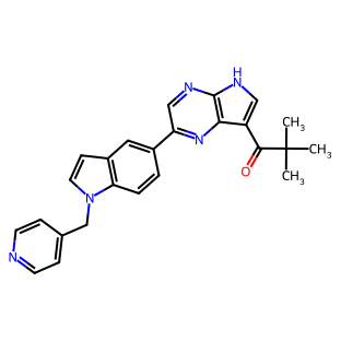 CC(C)(C)C(=O)c1c[nH]c2ncc(-c3ccc4c(ccn4Cc4ccncc4)c3)nc12